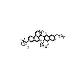 Cc1c2c(c(CC(C)(C)C)c3ccc(CC(C)C)cc13)Oc1cc3cc(CC(C)(C)C(F)(F)F)ccc3c3cc[n+](C)c-2c13